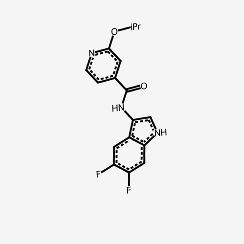 CC(C)Oc1cc(C(=O)Nc2c[nH]c3cc(F)c(F)cc23)ccn1